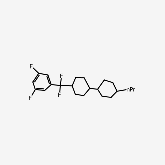 CCCC1CCC(C2CCC(C(F)(F)c3cc(F)cc(F)c3)CC2)CC1